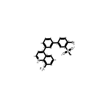 CS(=O)(=O)c1cc(-c2cccc(-c3ccnc4c(C(F)(F)F)cccc34)c2)ccc1Br